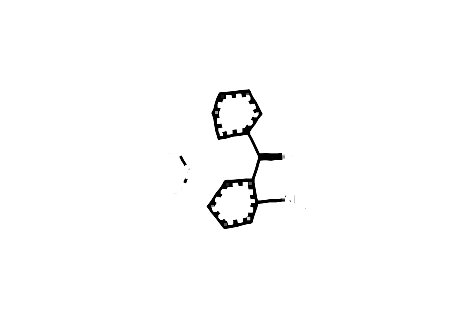 C[CH2][Al][CH2]C.Nc1ccccc1C(=O)c1ccccc1